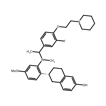 COc1ccc([C@@H]2CCc3cc(O)ccc3C2)c(N(C)C(C)c2ccc(OCCN3CCCCC3)c(F)c2)c1